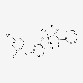 CCC(=O)C(C#N)(Oc1cc(Oc2ccc(C(F)(F)F)cc2Cl)ccc1Cl)C(=O)N(c1ccccc1)C(C)C